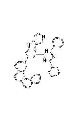 c1ccc(-c2nc(-c3ccccc3)nc(-c3cc(-c4ccc5ccc6ccc7ccccc7c6c5c4)cc4oc5ccncc5c34)n2)cc1